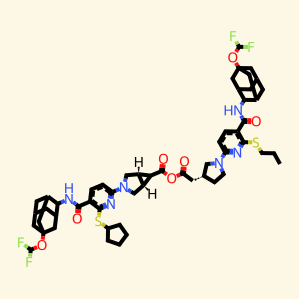 CCCSc1nc(N2CC[C@H](CC(=O)OC(=O)C3[C@H]4CN(c5ccc(C(=O)NC6C7CC8CC6CC(OC(F)F)(C8)C7)c(SC6CCCC6)n5)C[C@@H]34)C2)ccc1C(=O)NC1C2CC3CC1CC(OC(F)F)(C3)C2